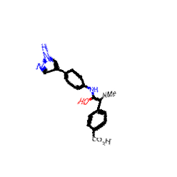 CNC(c1ccc(C(=O)O)cc1)C(O)Nc1ccc(-c2cn[nH]c2)cc1